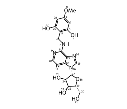 COc1cc(O)c(CNc2ncnc3c2ncn3[C@@H]2O[C@H](CO)[C@@H](O)[C@H]2O)c(O)c1